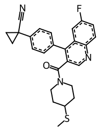 CSC1CCN(C(=O)c2cnc3ccc(F)cc3c2-c2ccc(C3(C#N)CC3)cc2)CC1